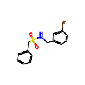 O=S(=O)(Cc1ccccc1)NCc1cccc(Br)c1